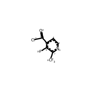 O=C(Cl)c1ccnc(C(F)(F)F)c1F